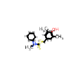 Cc1cc(CSC(=S)N(C)C2CCCCC2)cc(C)c1O